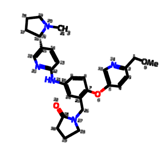 COCc1ccc(Oc2ccc(Nc3ccc([C@@H]4CCCN4C)cn3)cc2CN2CCCC2=O)cn1